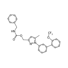 Cc1cc(COC(=O)NCc2ccccc2)nn1-c1cccc(-c2ccccc2OC(F)(F)F)c1